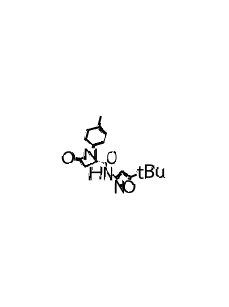 CC1=CC=C(N2C(=O)C[C@H]2C(=O)Nc2cc(C(C)(C)C)on2)CC1